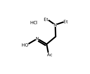 CCN(CC)CC(=NO)C(C)=O.Cl